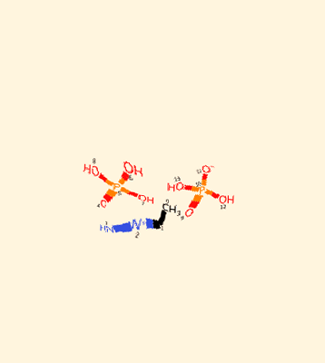 CC=[N+]=N.O=P(O)(O)O.O=P([O-])(O)O